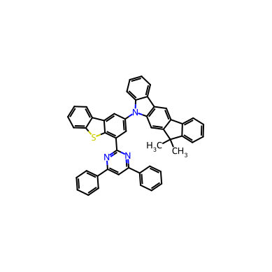 CC1(C)c2ccccc2-c2cc3c4ccccc4n(-c4cc(-c5nc(-c6ccccc6)cc(-c6ccccc6)n5)c5sc6ccccc6c5c4)c3cc21